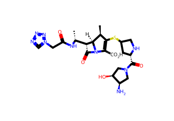 C[C@@H](NC(=O)Cn1cnnn1)[C@H]1C(=O)N2C(C(=O)O)=C(SC3CN[C@H](C(=O)N4C[C@@H](N)[C@@H](O)C4)C3)[C@H](C)[C@H]12